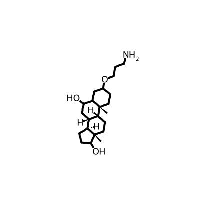 C[C@]12CCC(OCCCN)CC1C(O)C[C@@H]1[C@H]2CC[C@]2(C)C(O)CC[C@@H]12